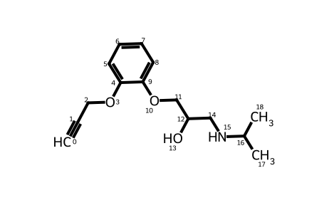 C#CCOc1ccccc1OCC(O)CNC(C)C